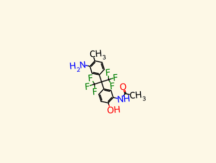 CC(=O)Nc1cc(C(c2ccc(C)c(N)c2)(C(F)(F)F)C(F)(F)F)ccc1O